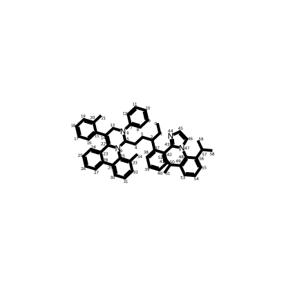 CCC(CCC1N(c2ccccc2)CC(c2ccccc2C)=C2c3ccccc3-c3cccc(C)c3N21)c1ccccc1-c1nccn1-c1c(C(C)C)cccc1C(C)C